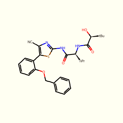 CCC[C@H](NC(=O)[C@@H](O)C(C)(C)C)C(=O)Nc1nc(C#N)c(-c2ccccc2OCc2ccccc2)s1